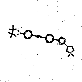 CC1(C)OB(c2ccc(C#Cc3ccc(-c4cnc([C@H]5CC[Si](C)(C)C5)[nH]4)cc3)cc2)OC1(C)C